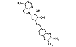 Nc1nc2cc(/C=C/[C@H]3C[C@@H](N4CCc5c(N)ncnc54)[C@H](O)[C@@H]3O)ccc2cc1C(F)(F)F